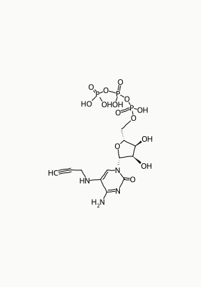 C#CCNc1cn([C@@H]2O[C@H](COP(=O)(O)OP(=O)(O)OP(=O)(O)O)[C@@H](O)[C@H]2O)c(=O)nc1N